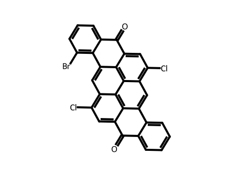 O=c1c2ccccc2c2cc3c(Cl)cc4c(=O)c5cccc(Br)c5c5cc6c(Cl)cc1c2c6c3c45